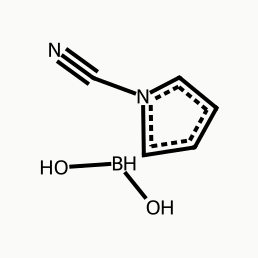 N#Cn1cccc1.OBO